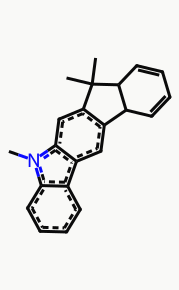 Cn1c2ccccc2c2cc3c(cc21)C(C)(C)C1C=CC=CC31